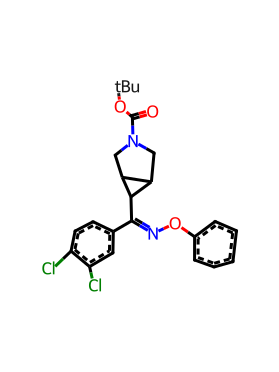 CC(C)(C)OC(=O)N1CC2C(C1)C2C(=NOc1ccccc1)c1ccc(Cl)c(Cl)c1